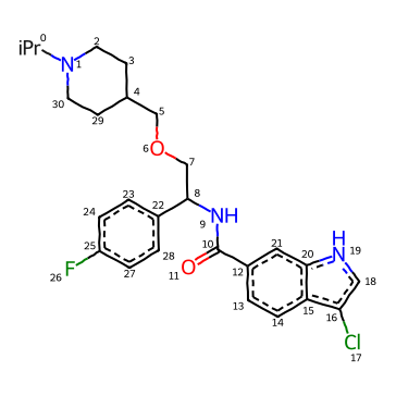 CC(C)N1CCC(COCC(NC(=O)c2ccc3c(Cl)c[nH]c3c2)c2ccc(F)cc2)CC1